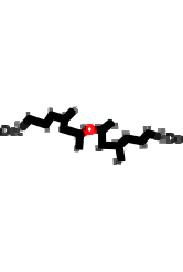 CCCCCCCCCCCCCC(C)CC(C)OC(C)CC(C)CCCCCCCCCCCCC